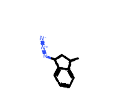 CC1CC(N=[N+]=[N-])c2ccccc21